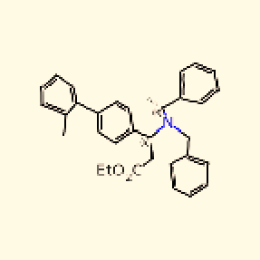 CCOC(=O)C[C@@H](c1ccc(-c2ccccc2C)cc1)N(Cc1ccccc1)[C@H](C)c1ccccc1